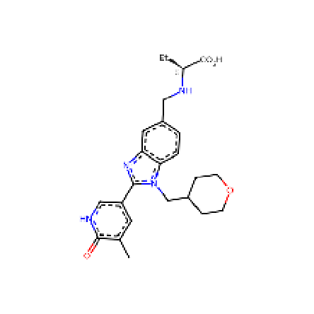 CC[C@H](NCc1ccc2c(c1)nc(-c1c[nH]c(=O)c(C)c1)n2CC1CCOCC1)C(=O)O